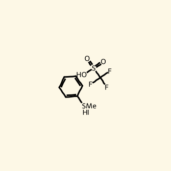 CSc1ccccc1.I.O=S(=O)(O)C(F)(F)F